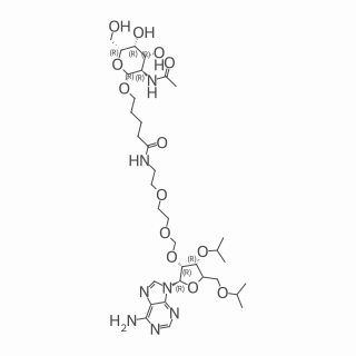 CC(=O)N[C@H]1[C@H](OCCCCC(=O)NCCOCCOCO[C@@H]2[C@H](OC(C)C)C(COC(C)C)O[C@H]2n2cnc3c(N)ncnc32)O[C@H](CO)[C@H](O)[C@@H]1O